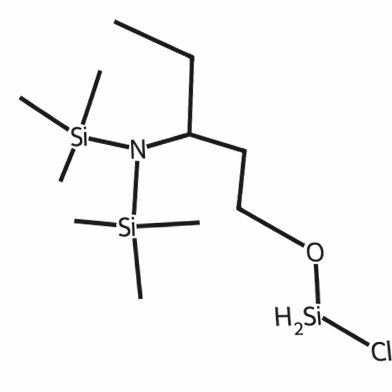 CCC(CCO[SiH2]Cl)N([Si](C)(C)C)[Si](C)(C)C